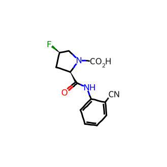 N#Cc1ccccc1NC(=O)[C@H]1C[C@@H](F)CN1C(=O)O